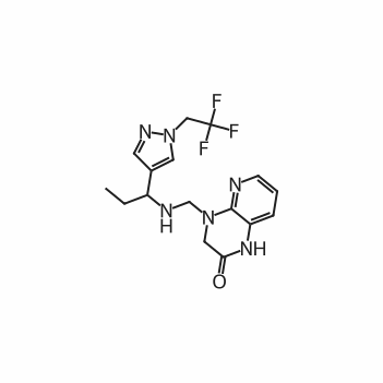 CCC(NCN1CC(=O)Nc2cccnc21)c1cnn(CC(F)(F)F)c1